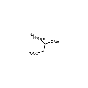 COC(CC(=O)[O-])C(=O)[O-].[Na+].[Na+]